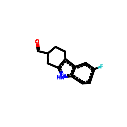 O=CC1CCc2c([nH]c3ccc(F)cc23)C1